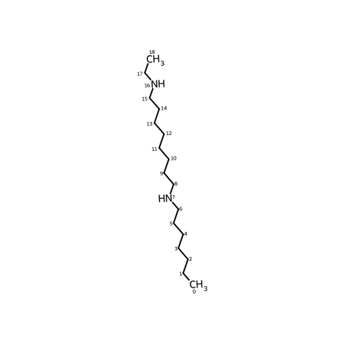 CCCCCCCNCCCCCCCCNCC